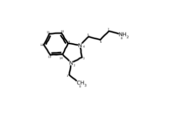 CCN1CN(CCCN)c2ccccc21